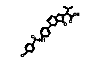 CC(C)C(C(=O)O)N1Cc2ccc(-c3ccc(NC(=O)c4ccc(Cl)cc4)cc3)cc2C1=O